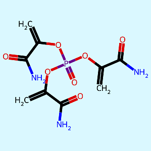 C=C(OP(=O)(OC(=C)C(N)=O)OC(=C)C(N)=O)C(N)=O